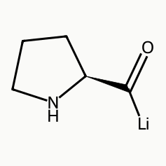 [Li][C](=O)[C@@H]1CCCN1